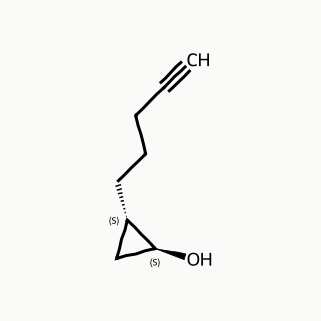 C#CCCC[C@H]1C[C@@H]1O